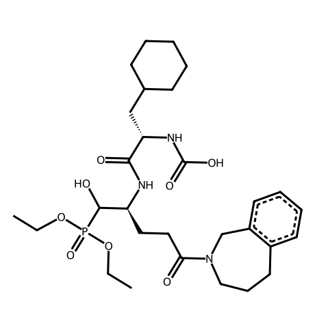 CCOP(=O)(OCC)C(O)[C@H](CCC(=O)N1CCCc2ccccc2C1)NC(=O)[C@H](CC1CCCCC1)NC(=O)O